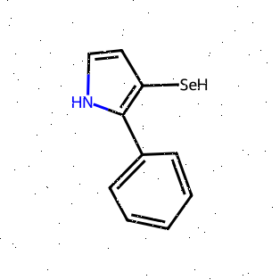 [SeH]c1cc[nH]c1-c1ccccc1